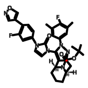 Cc1cc(-n2nc3c(c2-n2ccn(-c4ccc(-c5cnoc5)c(F)c4)c2=O)[C@@H]2CCC[C@H](C3)N2C(=O)OC(C)(C)C)cc(C)c1F